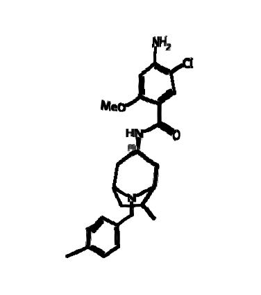 COc1cc(N)c(Cl)cc1C(=O)N[C@@H]1CC2CC(C)C(C1)N2Cc1ccc(C)cc1